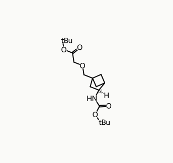 CC(C)(C)OC(=O)COCC12CC(C1)[C@@H](NC(=O)OC(C)(C)C)C2